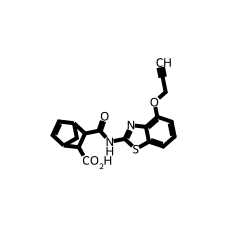 C#CCOc1cccc2sc(NC(=O)C3C4C=CC(C4)C3C(=O)O)nc12